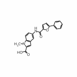 Cn1c(C(=O)O)cc2cc(NC(=O)c3ccc(-c4ccccc4)o3)ccc21